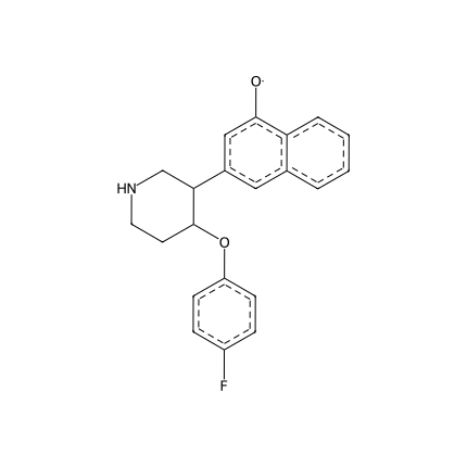 [O]c1cc(C2CNCCC2Oc2ccc(F)cc2)cc2ccccc12